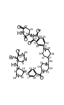 CN1C[C@H](Nc2cnn(C)c(=O)c2Br)C[C@H](c2ccc(C(=O)N3CCN(CC4CCN(c5ccc6c(c5)C(=O)N(C5CCC(=O)NC5=O)C6=O)CC4)CC3)cc2)C1